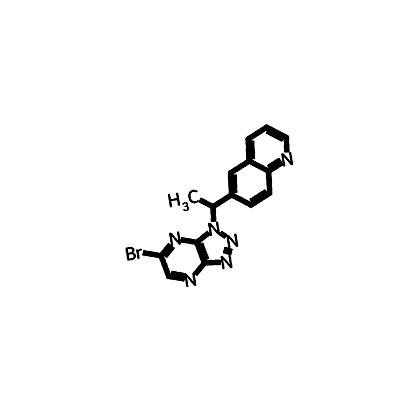 CC(c1ccc2ncccc2c1)n1nnc2ncc(Br)nc21